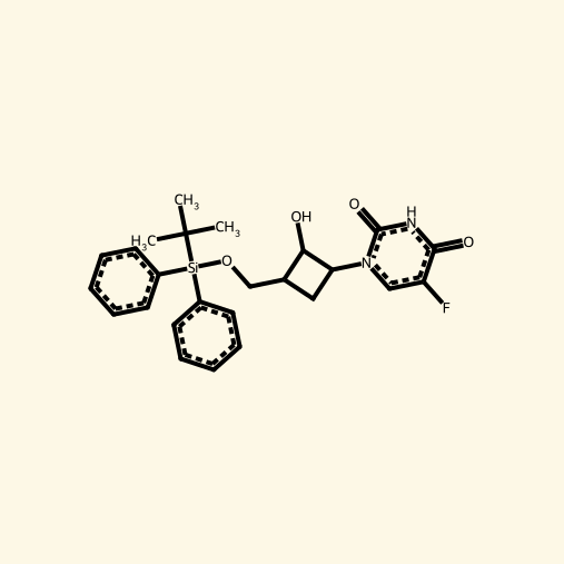 CC(C)(C)[Si](OCC1CC(n2cc(F)c(=O)[nH]c2=O)C1O)(c1ccccc1)c1ccccc1